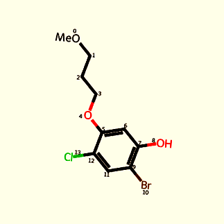 COCCCOc1cc(O)c(Br)cc1Cl